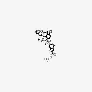 CCOC(=O)c1cc2ccc(S(=O)(=O)N(CC)c3ccc(Cl)cc3CN(Cc3ccco3)C(=O)C3CC3)cc2s1